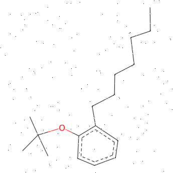 CCCCCCCc1ccccc1OC(C)(C)C